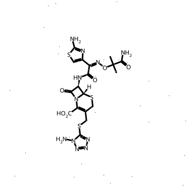 CC(C)(O/N=C(\C(=O)N[C@@H]1C(=O)N2C(C(=O)O)=C(CSc3nnnn3N)CS[C@@H]12)c1csc(N)n1)C(N)=O